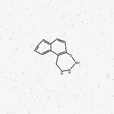 c1ccc2c3c(ccc2c1)ONNNC3